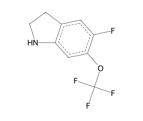 Fc1cc2c(cc1OC(F)(F)F)NCC2